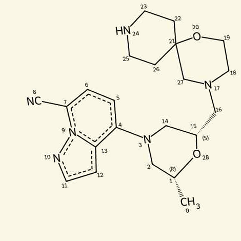 C[C@@H]1CN(c2ccc(C#N)n3nccc23)C[C@H](CN2CCOC3(CCNCC3)C2)O1